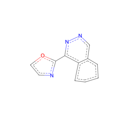 c1ccc2c(-c3ncco3)nncc2c1